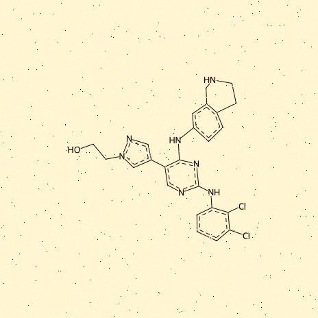 OCCn1cc(-c2cnc(Nc3cccc(Cl)c3Cl)nc2Nc2ccc3c(c2)CNCC3)cn1